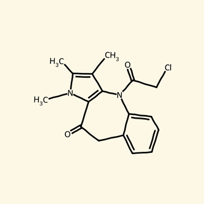 Cc1c2c(n(C)c1C)C(=O)Cc1ccccc1N2C(=O)CCl